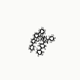 c1ccc(-c2ccc(-c3nc(-c4ccccc4)nc(-n4c5ccccc5c5ccc6c7ccc(-c8ccccc8)cc7oc6c54)n3)cc2)cc1